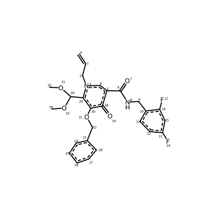 C=CCn1cc(C(=O)NCc2ccc(F)cc2F)c(=O)c(OCc2ccccc2)c1C(OC)OC